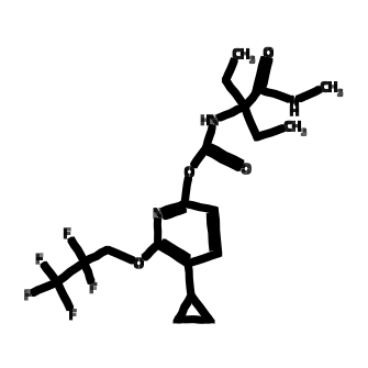 CCC(CC)(NC(=O)Oc1ccc(C2CC2)c(OCC(F)(F)C(F)(F)F)n1)C(=O)NC